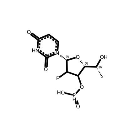 C[C@@H](O)[C@H]1O[C@@H](n2ccc(=O)[nH]c2=O)C(F)C1O[PH](=O)O